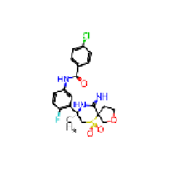 C[C@@]1(c2cc(NC(=O)c3ccc(Cl)cc3)ccc2F)CS(=O)(=O)[C@]2(CCOC2)C(=N)N1